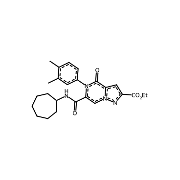 CCOC(=O)c1cc2c(=O)n(-c3ccc(C)c(C)c3)c(C(=O)NC3CCCCCC3)cn2n1